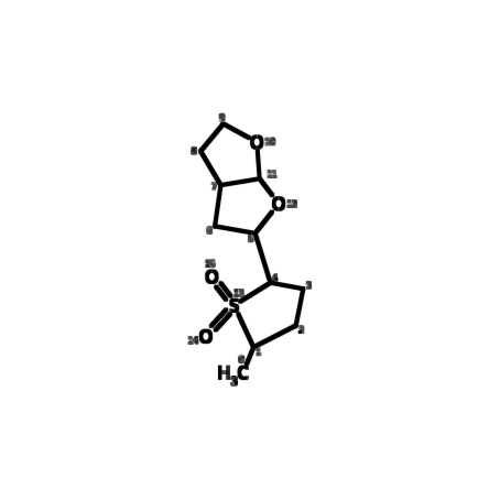 CC1CCC(C2CC3CCOC3O2)S1(=O)=O